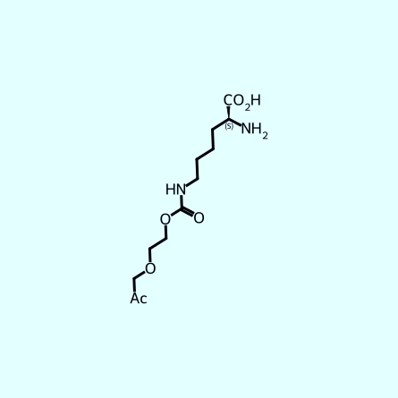 CC(=O)COCCOC(=O)NCCCC[C@H](N)C(=O)O